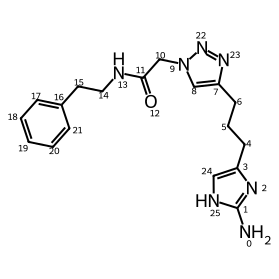 Nc1nc(CCCc2cn(CC(=O)NCCc3ccccc3)nn2)c[nH]1